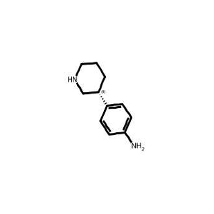 Nc1ccc([C@H]2CCCNC2)cc1